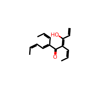 C=C/C(O)=C(\C=C/C)C(=O)C(/C=C\C)=C/C=C\C